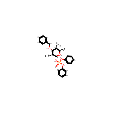 CC[C@H]1O[C@H](OP(=O)(Oc2ccccc2)Oc2ccccc2)[C@@H](OC(C)=O)[C@H](OCc2ccccc2)[C@@H]1C